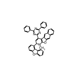 CN1c2oc3cc4ccccc4cc3c2C(c2nc(-c3ccccc3)nc(-c3ccccc3)n2)=CC1c1cccc2oc3ccccc3c12